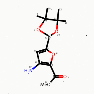 COC(=O)c1oc(B2OC(C)(C)C(C)(C)O2)cc1N